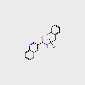 CC(C#N)(Cc1ccccc1F)NC(=O)c1cnc2ccccc2c1